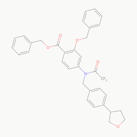 O=C(OCc1ccccc1)c1ccc(N(Cc2ccc(C3CCOC3)cc2)C(=O)C(F)(F)F)cc1OCc1ccccc1